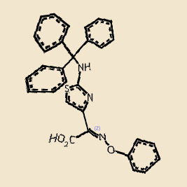 O=C(O)/C(=N\Oc1ccccc1)c1csc(NC(c2ccccc2)(c2ccccc2)c2ccccc2)n1